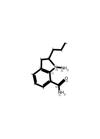 CCCC1Cc2cccc(C(N)=O)c2N1N